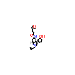 Cc1occc1C=CC(=O)N[C@@H]1CC[C@@H]2CN(CC3CC3)CC[C@@]2(c2cccc(O)c2)C1